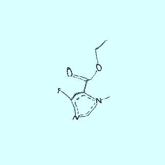 CCOC(=O)c1c(F)ncn1C